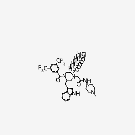 CN1CCN(NC(=O)CN2CCN(C(=O)c3cc(C(F)(F)F)cc(C(F)(F)F)c3)C(Cc3c[nH]c4ccccc34)C2)CC1.Cl.Cl.O.O.O.O.O